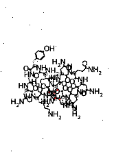 CC(C)[C@H](N)C(=O)N[C@@H](Cc1ccc(O)cc1)C(=O)NCC(=O)N[C@@H](CC(N)=O)C(=O)N[C@@H](CCCCN)C(=O)N[C@@H](CCCCN)C(=O)N[C@@H](CC(N)=O)C(=O)N[C@@H](CC(N)=O)C(=O)N[C@@H](CCC(N)=O)C(=O)N[C@@H](CC(N)=O)C(=O)N[C@@H](CC(N)=O)C(=O)N[C@@H](CC(N)=O)C(=O)O